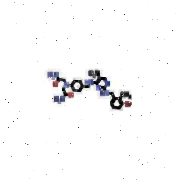 Cc1c(Br)cccc1CNc1ncc([N+](=O)[O-])c(NCC2CCC(N(CC(N)=O)CC(N)=O)CC2)n1